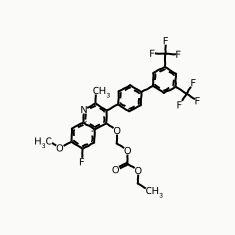 CCOC(=O)OCOc1c(-c2ccc(-c3cc(C(F)(F)F)cc(C(F)(F)F)c3)cc2)c(C)nc2cc(OC)c(F)cc12